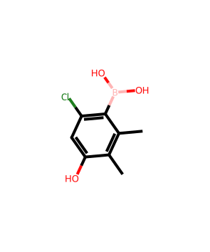 Cc1c(O)cc(Cl)c(B(O)O)c1C